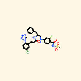 CS(=O)(=O)NC(=O)c1ccc(NCC(Cc2ccccc2)NC(=O)/C=C/c2cc(Cl)ccc2-n2cnnn2)cc1F